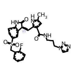 Cc1cc(C(=O)NCCCn2ccnn2)c(/C=C2\C(=O)Nc3ccc(S(=O)(=O)Cc4ccccc4F)cc32)[nH]1